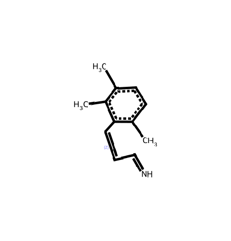 Cc1ccc(C)c(/C=C\C=N)c1C